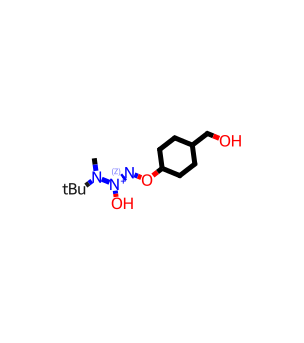 CN(/[N+](O)=N/OC1CCC(CO)CC1)C(C)(C)C